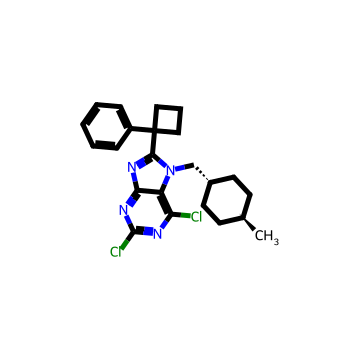 C[C@H]1CC[C@H](Cn2c(C3(c4ccccc4)CCC3)nc3nc(Cl)nc(Cl)c32)CC1